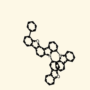 c1ccc(-c2cccc3c2oc2c3ccc3c2c2cccc(-n4c5ccccc5c5ccccc54)c2n3-c2ccc3oc4ccccc4c3c2)cc1